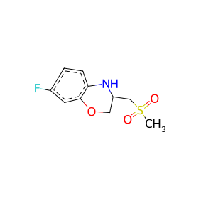 CS(=O)(=O)CC1COc2cc(F)ccc2N1